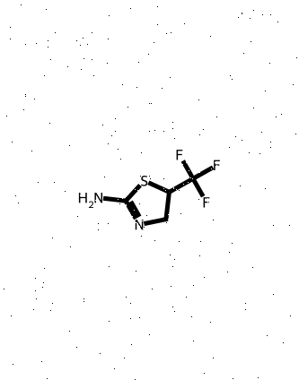 NC1=NCC(C(F)(F)F)S1